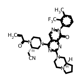 C=CC(=O)N1CCN(c2nc(N3CCN4CCC[C@@H]4C3)nc3c(=O)n(-c4cccc(C)c4C(F)(F)F)ncc23)C[C@@H]1CC#N